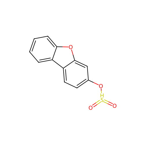 O=[SH](=O)Oc1ccc2c(c1)oc1ccccc12